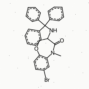 CN1C(=O)C(NC(c2ccccc2)(c2ccccc2)c2ccccc2)COc2ccc(Br)cc21